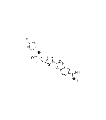 CC(C)(Cc1ccc(C(=O)Oc2ccc(C(=N)N)cc2F)s1)C(=O)Nc1ccc(F)nc1